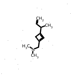 C=CC(C)C1=C=C(CN(C)C)C1